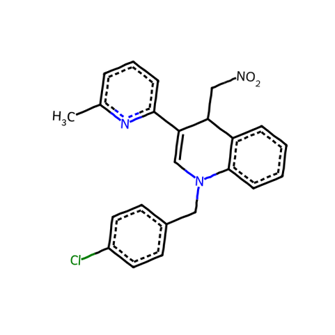 Cc1cccc(C2=CN(Cc3ccc(Cl)cc3)c3ccccc3C2C[N+](=O)[O-])n1